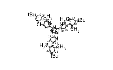 Cc1cc(C(C)(C)C)cc(C)c1-c1ccc(-c2nc(-c3ccc(-c4c(C)cc(C(C)(C)C)cc4C)cn3)nc(-c3ccc(-c4c(C)cc(C(C)(C)C)cc4C)cn3)n2)nc1